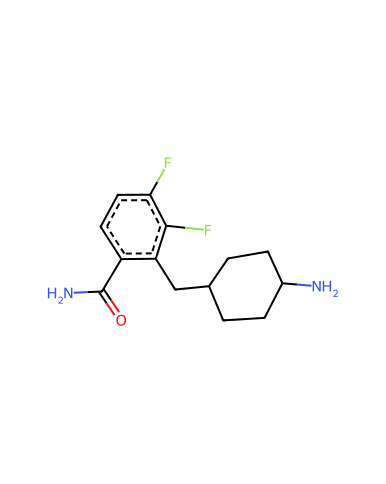 NC(=O)c1ccc(F)c(F)c1CC1CCC(N)CC1